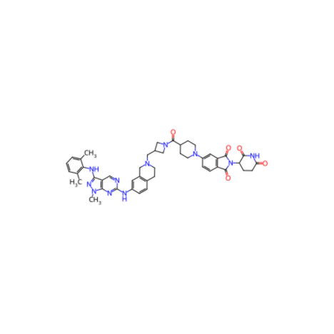 Cc1cccc(C)c1Nc1nn(C)c2nc(Nc3ccc4c(c3)CN(CC3CN(C(=O)C5CCN(c6ccc7c(c6)C(=O)N(C6CCC(=O)NC6=O)C7=O)CC5)C3)CC4)ncc12